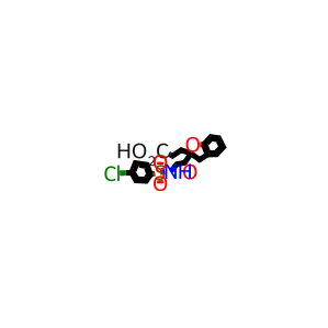 O=C(O)CCC1(C(=O)CNS(=O)(=O)c2ccc(Cl)cc2)Cc2ccccc2O1